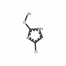 CC(C)Oc1nc(Cl)c[nH]1